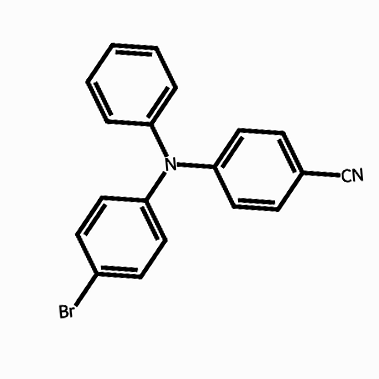 N#Cc1ccc(N(c2ccccc2)c2ccc(Br)cc2)cc1